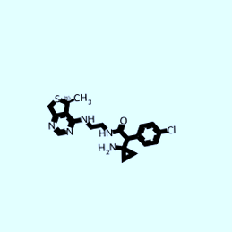 C[C@@H]1SCc2ncnc(NCCNC(=O)C(c3ccc(Cl)cc3)C3(N)CC3)c21